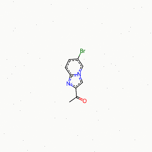 CC(=O)c1cn2cc(Br)ccc2n1